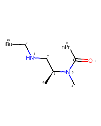 CCCC(=O)N(C)[C@@H](C)CNCC(C)CC